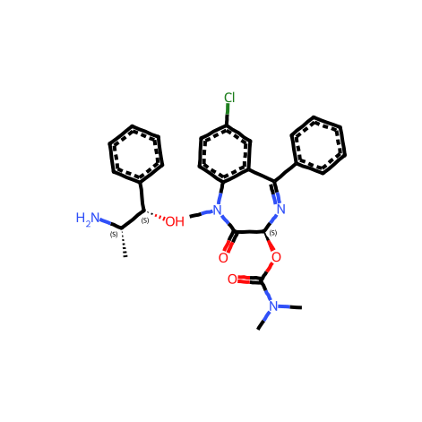 CN(C)C(=O)O[C@@H]1N=C(c2ccccc2)c2cc(Cl)ccc2N(C)C1=O.C[C@H](N)[C@@H](O)c1ccccc1